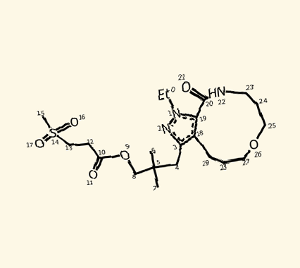 CCn1nc(CC(C)(C)COC(=O)CCS(C)(=O)=O)c2c1C(=O)NCCCOCCC2